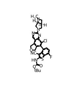 CN1C[C@H]2CN(c3ncc4c5c(c(-c6ccc(F)c7sc(NC(=O)OC(C)(C)C)c(C#N)c67)c(Cl)c4n3)COC5)C[C@H]21